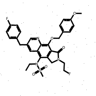 CCN(c1c2c(c(OCc3ccc(OC)cc3)c3ncc(Cc4ccc(F)cc4)cc13)C(=O)N(CCF)C2)S(C)(=O)=O